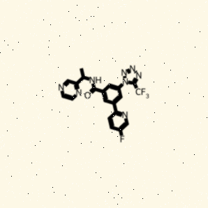 CC(NC(=O)c1cc(-c2ccc(F)cn2)cc(-n2nnnc2C(F)(F)F)c1)c1cnccn1